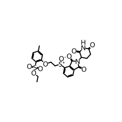 CCOS(=O)(=O)c1ccc(C)cc1OCC[S+]([O-])c1cccc2c1C(=O)N(C1CCC(=O)NC1=O)C2=O